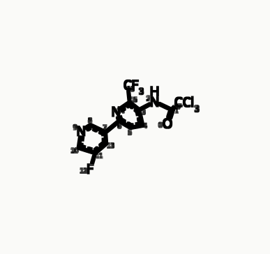 O=C(Nc1ccc(-c2cncc(F)c2)nc1C(F)(F)F)C(Cl)(Cl)Cl